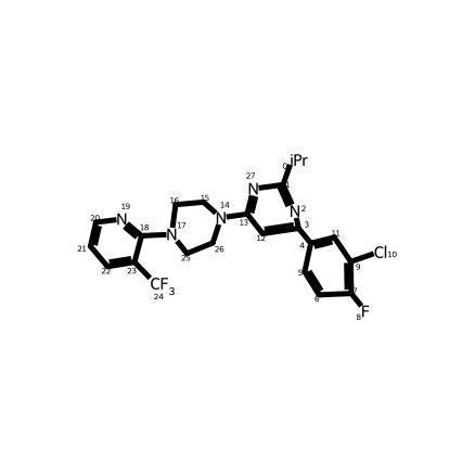 CC(C)c1nc(-c2ccc(F)c(Cl)c2)cc(N2CCN(c3ncccc3C(F)(F)F)CC2)n1